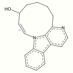 OC1/C=C\n2c3ccccc3c3ccnc(c32)CCCC1